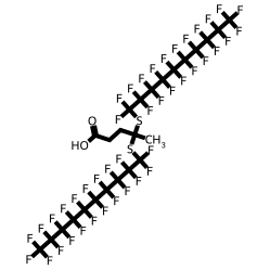 CC(CCC(=O)O)(SC(F)(F)C(F)(F)C(F)(F)C(F)(F)C(F)(F)C(F)(F)C(F)(F)C(F)(F)C(F)(F)C(F)(F)F)SC(F)(F)C(F)(F)C(F)(F)C(F)(F)C(F)(F)C(F)(F)C(F)(F)C(F)(F)C(F)(F)C(F)(F)F